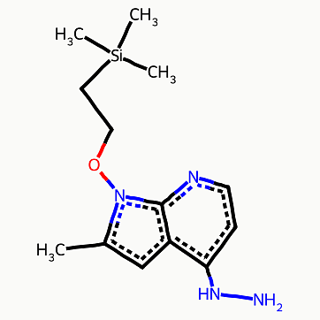 Cc1cc2c(NN)ccnc2n1OCC[Si](C)(C)C